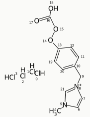 Cl.Cl.Cl.Cl.Cn1cc[n+](Cc2ccc(OOC(=O)O)cc2)c1